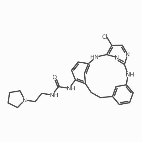 O=C(NCCN1CCCC1)Nc1ccc2cc1CCc1cccc(c1)Nc1ncc(Cl)c(n1)N2